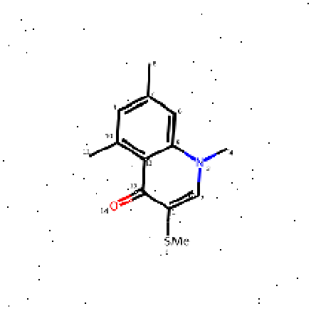 CSc1cn(C)c2cc(C)cc(C)c2c1=O